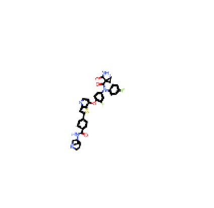 NC(=O)C1(C(=O)N(c2ccc(F)cc2)c2ccc(Oc3ccnc4cc(-c5ccc(C(=O)NC6CN7CCC6CC7)cc5)sc34)c(F)c2)CC1